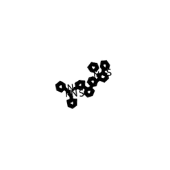 c1ccc(-c2nc(-c3ccccc3)nc(-c3cccc4c3sc3cccc(-c5ccc6c(c5)c5ccc7sc8ccccc8c7c5n6-c5ccccc5)c34)n2)cc1